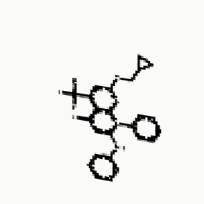 O=c1cc(Nc2ccccc2)n(-c2ccccc2)c2nc(OCC3CC3)cc(C(F)(F)F)c12